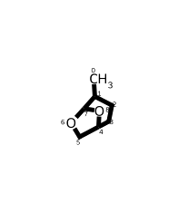 CC1CCC2COC1O2